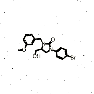 COc1cccc(CN2C(=O)N(c3ccc(Br)cc3)CC2CO)c1